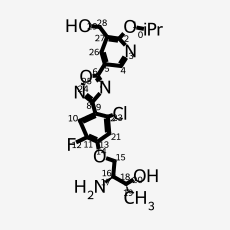 CC(C)Oc1ncc(-c2nc(-c3cc(F)c(OC[C@H](N)[C@@H](C)O)cc3Cl)no2)cc1CO